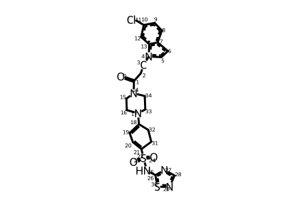 O=C(CCn1ccc2ccc(Cl)cc21)N1CCN(C2=CC=C(S(=O)(=O)Nc3ncns3)CC2)CC1